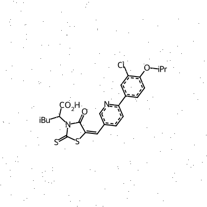 CCC(C)C(C(=O)O)N1C(=O)/C(=C\c2ccc(-c3ccc(OC(C)C)c(Cl)c3)nc2)SC1=S